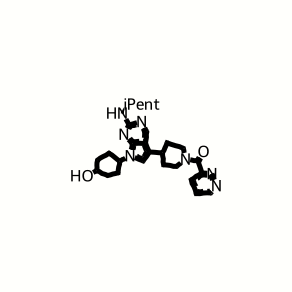 CCC[C@H](C)Nc1ncc2c(C3CCN(C(=O)c4cccnn4)CC3)cn(C3CCC(O)CC3)c2n1